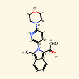 Cc1c2ccccc2c(C(=O)C=O)n1-c1ccc(N2CCOCC2)nc1